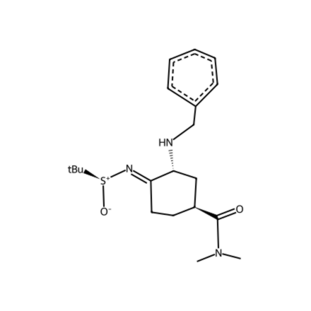 CN(C)C(=O)[C@H]1CCC(=N[S@@+]([O-])C(C)(C)C)[C@H](NCc2ccccc2)C1